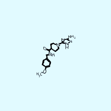 COc1ccc(CNC(=O)C2CCN(c3nc(N)n[nH]3)CC2)cc1